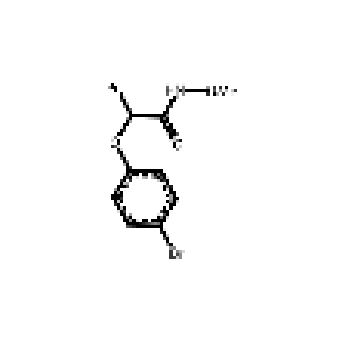 CONC(=O)C(Oc1ccc(Br)cc1)C(C)C